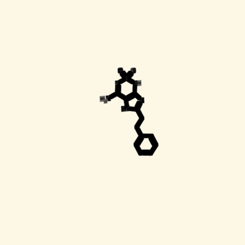 NC1=NS(=O)(=O)Nc2nc(CCc3ccccc3)[nH]c21